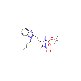 CCCCCn1c(CCC(NC(=O)OC(C)(C)C)C(=O)NO)nc2ccccc21